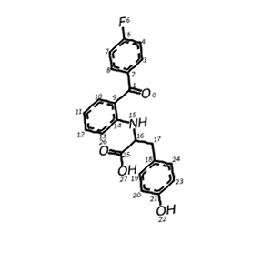 O=C(c1ccc(F)cc1)c1ccccc1NC(Cc1ccc(O)cc1)C(=O)O